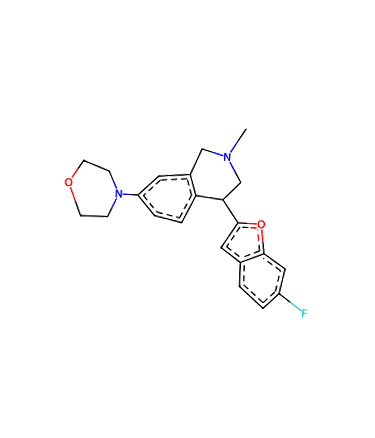 CN1Cc2cc(N3CCOCC3)ccc2C(c2cc3ccc(F)cc3o2)C1